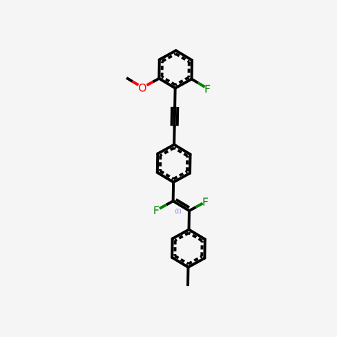 COc1cccc(F)c1C#Cc1ccc(/C(F)=C(\F)c2ccc(C)cc2)cc1